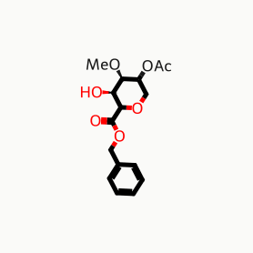 CO[C@H]1C(OC(C)=O)COC(C(=O)OCc2ccccc2)[C@H]1O